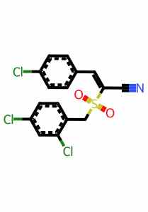 N#CC(=Cc1ccc(Cl)cc1)S(=O)(=O)Cc1ccc(Cl)cc1Cl